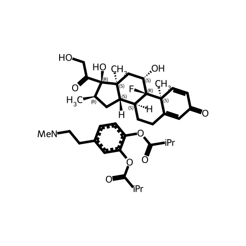 CNCCc1ccc(OC(=O)C(C)C)c(OC(=O)C(C)C)c1.C[C@@H]1C[C@H]2[C@@H]3CCC4=CC(=O)C=C[C@]4(C)[C@@]3(F)[C@@H](O)C[C@]2(C)[C@@]1(O)C(=O)CO